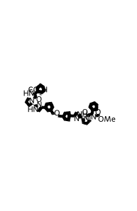 COC(=O)N[C@@H](C(=O)N1CCC[C@H]1c1nc(-c2ccc(COCc3cccc(-c4c[nH]c([C@@H]5CCCN5C(=O)[C@H](NC(=O)O)c5ccccc5)n4)c3)cc2)c[nH]1)c1ccccc1